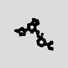 C=CC(=O)N1CCC[C@@](F)(COc2nc(-c3cnn(C)c3)cn3nccc23)C1